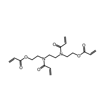 C=CC(=O)OCCN(CCN(CCOC(=O)C=C)C(=O)C=C)C(=O)C=C